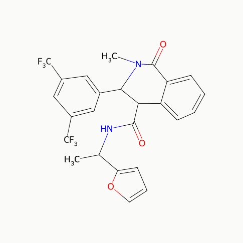 CC(NC(=O)C1c2ccccc2C(=O)N(C)C1c1cc(C(F)(F)F)cc(C(F)(F)F)c1)c1ccco1